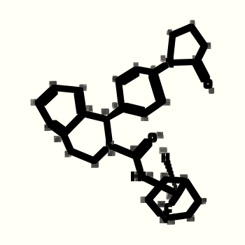 O=C1CCCN1c1ccc([C@@H]2c3ccccc3CCN2C(=O)N[C@@H]2CN3CCC2CC3)cc1